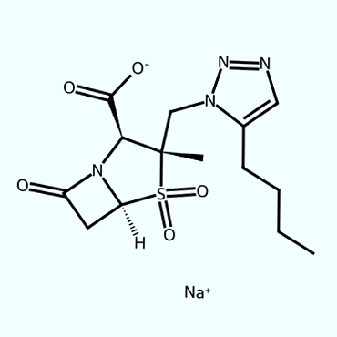 CCCCc1cnnn1C[C@@]1(C)[C@H](C(=O)[O-])N2C(=O)C[C@@H]2S1(=O)=O.[Na+]